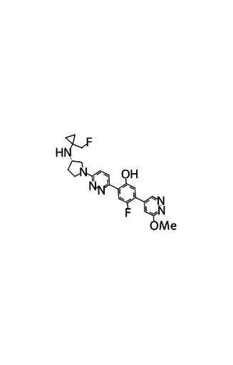 COc1cc(-c2cc(O)c(-c3ccc(N4CC[C@H](NC5(CF)CC5)C4)nn3)cc2F)cnn1